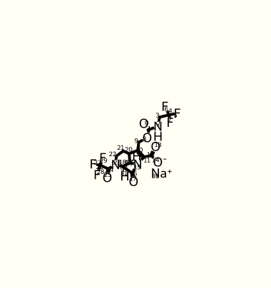 O=C(NCC(F)(F)F)OCC1=C(C(=O)[O-])N2C(=O)[C@@H]3[C@H]2C1CCN3C(=O)C(F)(F)F.[Na+]